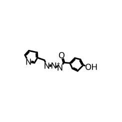 O=C(N=[N+]=NCc1cccnc1)c1ccc(O)cc1